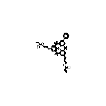 C=CC(=O)OCCCc1cc2c3c(c1)C(C)(C)c1cc(-c4ccccc4)cc4c1N3c1c(cc(CCCOC(=O)C=C)cc1C4(C)C)C2(C)C